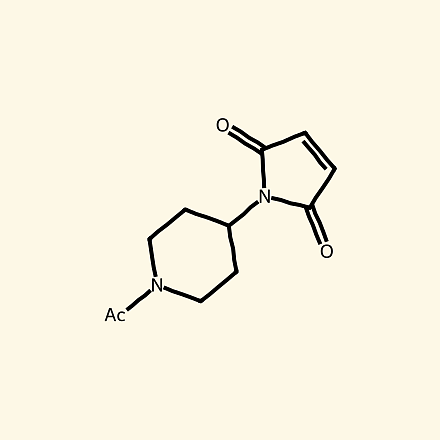 CC(=O)N1CCC(N2C(=O)C=CC2=O)CC1